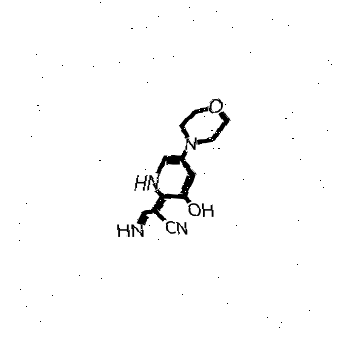 N#C/C(C=N)=C1/NC=C(N2CCOCC2)C=C1O